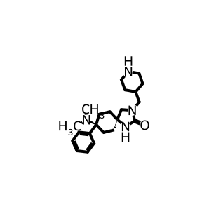 CN(C)[C@]1(c2ccccc2)CC[C@]2(CC1)CN(CC1CCNCC1)C(=O)N2